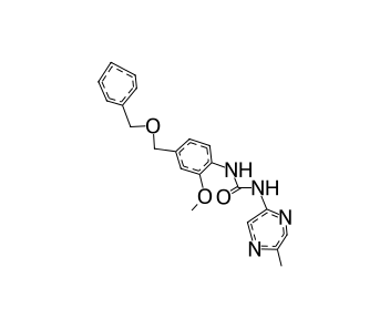 COc1cc(COCc2ccccc2)ccc1NC(=O)Nc1cnc(C)cn1